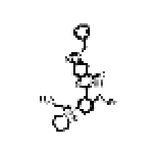 CCCOc1ccc(S(=O)(=O)[N+]2(CCN)CCCCC2)cc1-c1nc2cc3ncn(Cc4ccccc4)c3cc2c(=O)[nH]1